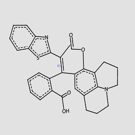 C/C(=C(/c1ccccc1C(=O)O)c1cc2c3c(c1OC=O)CCCN3CCC2)c1nc2ccccc2s1